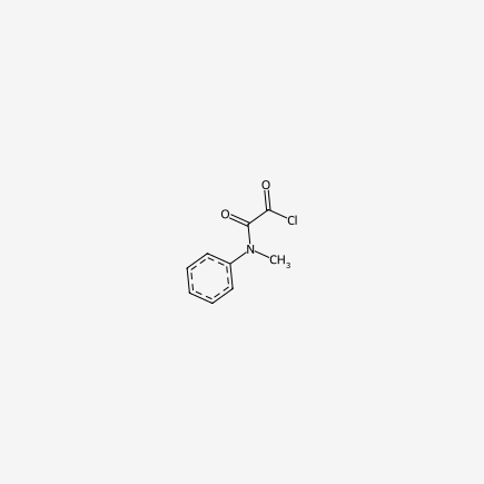 CN(C(=O)C(=O)Cl)c1ccccc1